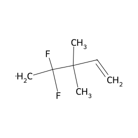 [CH2]C(F)(F)C(C)(C)C=C